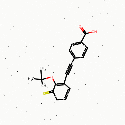 CC(C)(C)OC1=C(C#Cc2ccc(C(=O)O)cc2)C=CCC1=S